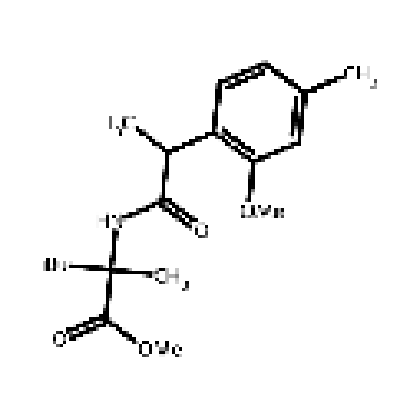 CCC(C)C(C)(NC(=O)C(C)c1ccc(C)cc1OC)C(=O)OC